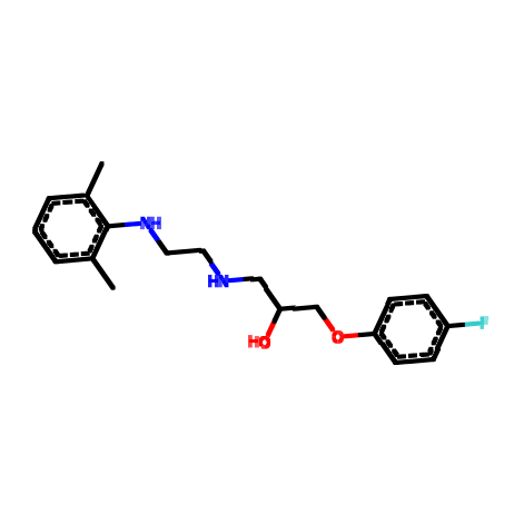 Cc1cccc(C)c1NCCNCC(O)COc1ccc(F)cc1